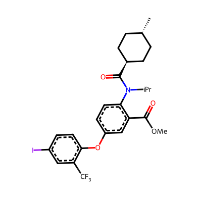 COC(=O)c1cc(Oc2ccc(I)cc2C(F)(F)F)ccc1N(C(=O)[C@H]1CC[C@H](C)CC1)C(C)C